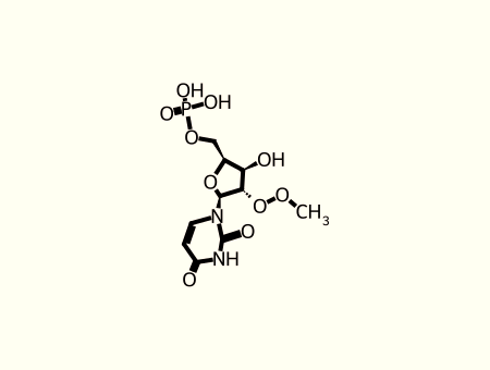 COO[C@H]1[C@H](O)[C@H](COP(=O)(O)O)O[C@@H]1n1ccc(=O)[nH]c1=O